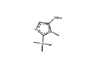 COc1coc([Si](C)(C)C)c1C